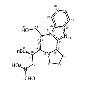 CCCC[C@H](CN(O)C=O)C(=O)N1CCC[C@H]1c1nc2ccncc2n1CCO